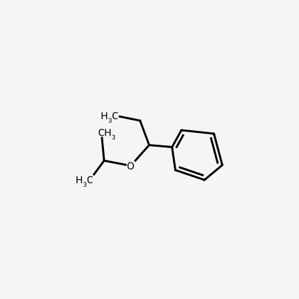 CCC(OC(C)C)c1ccccc1